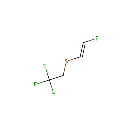 FC=CSCC(F)(F)F